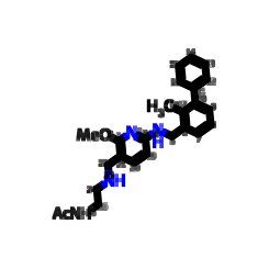 COc1nc(NCc2cccc(-c3ccccc3)c2C)ccc1CNCCNC(C)=O